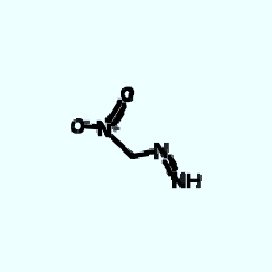 N=NC[N+](=O)[O-]